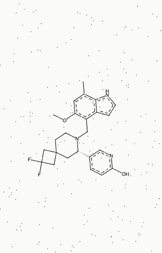 COc1cc(C)c2[nH]ccc2c1CN1CCC2(C[C@H]1c1ccc(O)nc1)CC(F)(F)C2